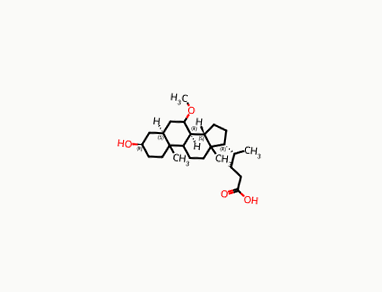 COC1C[C@@H]2C[C@H](O)CCC2(C)C2CCC3(C)[C@@H](C(C)CCC(=O)O)CC[C@H]3[C@H]12